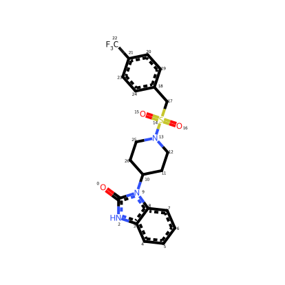 O=c1[nH]c2ccccc2n1C1CCN(S(=O)(=O)Cc2ccc(C(F)(F)F)cc2)CC1